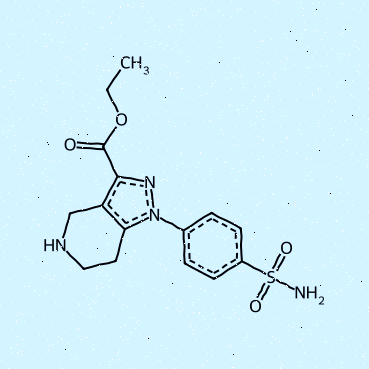 CCOC(=O)c1nn(-c2ccc(S(N)(=O)=O)cc2)c2c1CNCC2